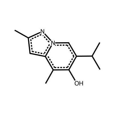 Cc1cc2c(C)c(O)c(C(C)C)cn2n1